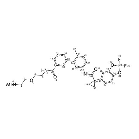 CNCCOCCNC(=O)c1cccc(-c2nc(NC(=O)C3(c4ccc5c(c4)OC(F)(F)O5)CC3)ccc2C)c1